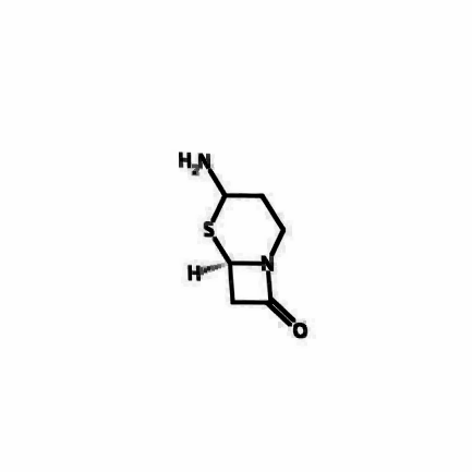 NC1CCN2C(=O)C[C@H]2S1